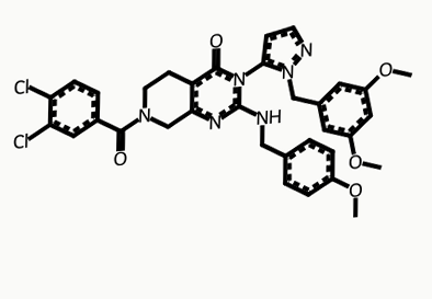 COc1ccc(CNc2nc3c(c(=O)n2-c2ccnn2Cc2cc(OC)cc(OC)c2)CCN(C(=O)c2ccc(Cl)c(Cl)c2)C3)cc1